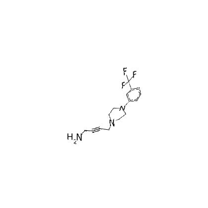 NCC#CCN1CCN(c2cccc(C(F)(F)F)c2)CC1